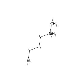 CCCCC[SiH2]C